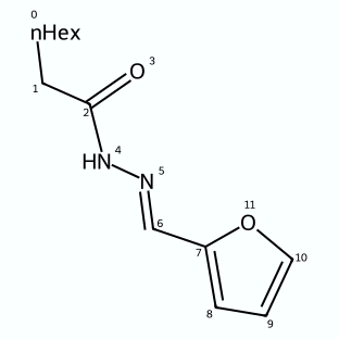 CCCCCCCC(=O)NN=Cc1ccco1